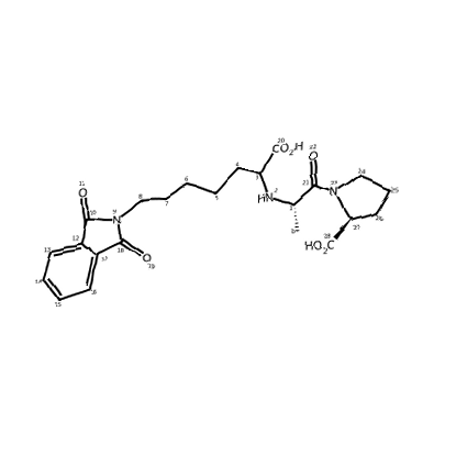 C[C@H](NC(CCCCCN1C(=O)c2ccccc2C1=O)C(=O)O)C(=O)N1CCC[C@H]1C(=O)O